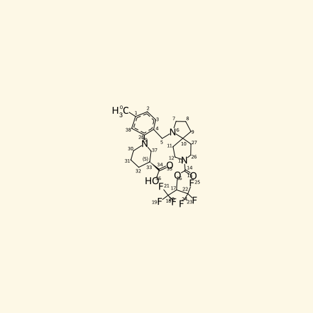 Cc1ccc(CN2CCCC23CCN(C(=O)OC(C(F)(F)F)C(F)(F)F)CC3)c(N2CCC[C@H](C(=O)O)C2)c1